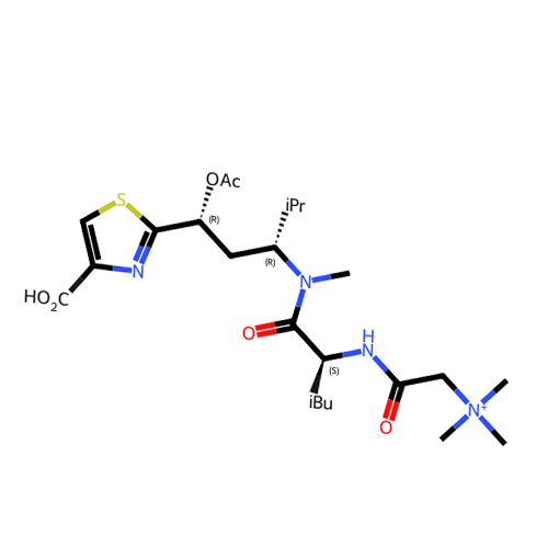 CCC(C)[C@H](NC(=O)C[N+](C)(C)C)C(=O)N(C)[C@H](C[C@@H](OC(C)=O)c1nc(C(=O)O)cs1)C(C)C